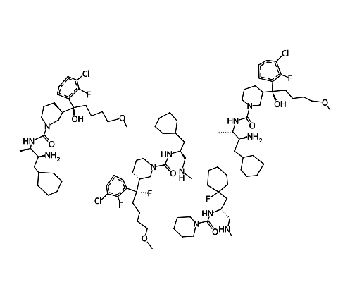 CNC[C@@H](CC1(F)CCCCC1)NC(=O)N1CCCCC1.CNC[C@H](CC1CCCCC1)NC(=O)N1CCC[C@@H]([C@@](F)(CCCCOC)c2cccc(Cl)c2F)C1.COCCCC[C@@](O)(c1cccc(Cl)c1F)C1CCCN(C(=O)N[C@@H](C)[C@@H](N)CC2CCCCC2)C1.COCCCC[C@@](O)(c1cccc(Cl)c1F)[C@@H]1CCCN(C(=O)N[C@H](C)[C@@H](N)CC2CCCCC2)C1